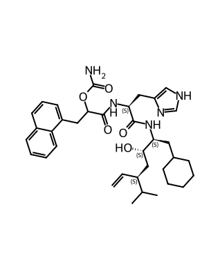 C=C[C@@H](C[C@H](O)[C@H](CC1CCCCC1)NC(=O)[C@H](Cc1c[nH]cn1)NC(=O)C(Cc1cccc2ccccc12)OC(N)=O)C(C)C